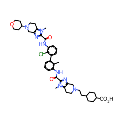 Cc1c(NC(=O)c2nc3c(n2C)CCN(CCC2CCC(C(=O)O)CC2)C3)cccc1-c1cccc(NC(=O)c2nc3c(n2C)CCN(C2CCOCC2)C3)c1Cl